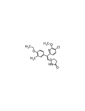 CCOc1ccc(C(=C[C@H]2CCC(=O)N2)c2ccc(Cl)c(OC)n2)cc1C